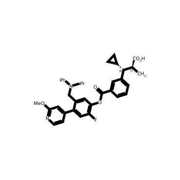 COc1cc(-c2cc(F)c(OC(=O)c3cccc([C@H](C4CC4)[C@H](C)C(=O)O)c3)cc2CN(C(C)C)C(C)C)ccn1